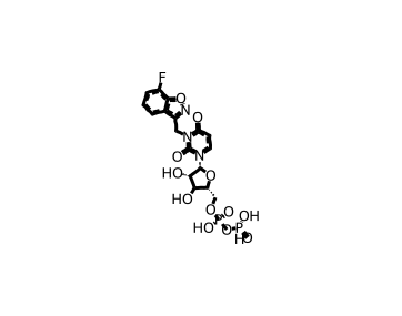 O=c1ccn([C@@H]2O[C@H](COP(=O)(O)O[PH](=O)O)C(O)[C@@H]2O)c(=O)n1Cc1noc2c(F)cccc12